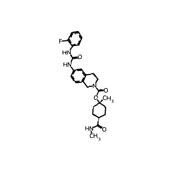 CNC(=O)[C@H]1CC[C@](C)(OC(=O)N2CCc3cc(NC(=O)Nc4ccccc4F)ccc3C2)CC1